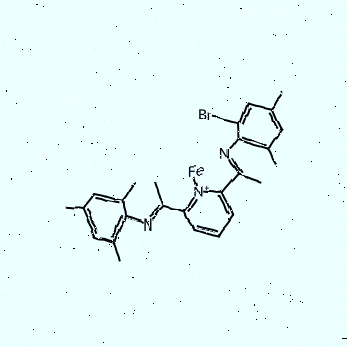 CC(=Nc1c(C)cc(C)cc1C)c1cccc(C(C)=Nc2c(C)cc(C)cc2Br)[n+]1[Fe]